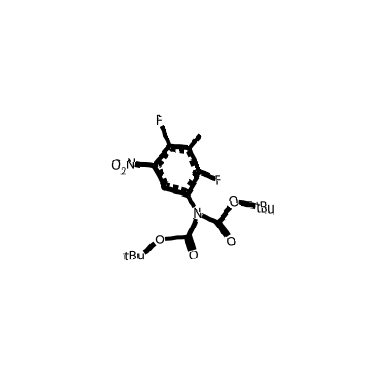 Cc1c(F)c(N(C(=O)OC(C)(C)C)C(=O)OC(C)(C)C)cc([N+](=O)[O-])c1F